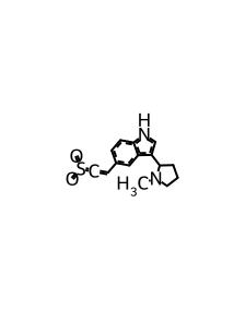 CN1CCCC1c1c[nH]c2ccc(C=C=S(=O)=O)cc12